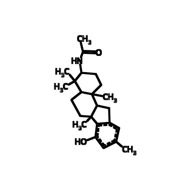 CC(=O)NC1CCC2(C)C3Cc4cc(C)cc(O)c4C3(C)CCC2C1(C)C